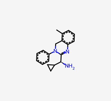 Cc1cccc2c1CN(c1ccccc1)C([C@@H](N)C1CC1)=N2